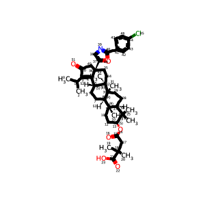 CC(C)C1=C2[C@H]3CC[C@@H]4[C@@]5(C)CC[C@H](OC(=O)CC(C)(C)C(=O)O)C(C)(C)[C@@H]5CC[C@@]4(C)[C@]3(C)CC[C@@]2(c2cnc(-c3ccc(Cl)cc3)o2)CC1=O